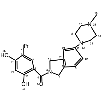 CC(C)c1cc(C(=O)N2Cc3ccc(N4CCN(C)CC4)cc3C2)c(O)cc1O